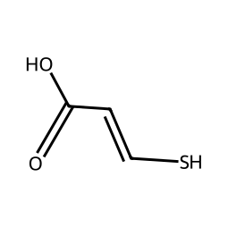 O=C(O)C=CS